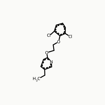 CCc1ccc(OCCOc2c(Cl)cccc2Cl)nc1